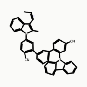 C/C=C\c1c(C)n(-c2ccc(C#N)c(-c3cccc(-c4ccc(C#N)cc4-n4c5ccccc5c5ccccc54)c3)c2)c2ccccc12